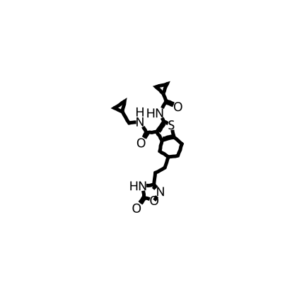 O=C(NCC1CC1)c1c(NC(=O)C2CC2)sc2c1CC(CCc1noc(=O)[nH]1)CC2